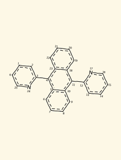 c1ccc(-c2c3ccccc3c(-c3ccccn3)c3ccccc23)nc1